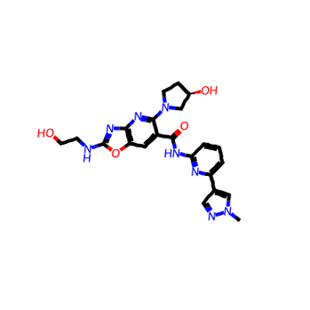 Cn1cc(-c2cccc(NC(=O)c3cc4oc(NCCO)nc4nc3N3CC[C@@H](O)C3)n2)cn1